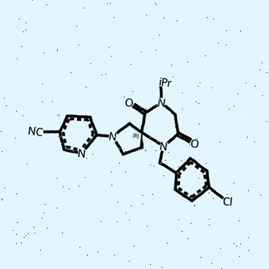 CC(C)N1CC(=O)N(Cc2ccc(Cl)cc2)[C@@]2(CCN(c3ccc(C#N)cn3)C2)C1=O